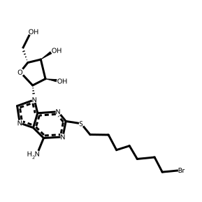 Nc1nc(SCCCCCCCBr)nc2c1ncn2[C@@H]1O[C@H](CO)[C@@H](O)[C@H]1O